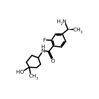 C[C@H](N)c1ccc(C(=O)NC2CCC(C)(O)CC2)c(F)c1